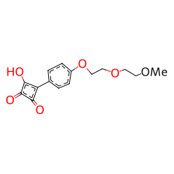 COCCOCCOc1ccc(-c2c(O)c(=O)c2=O)cc1